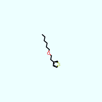 CCCCCCOCCc1ccsc1